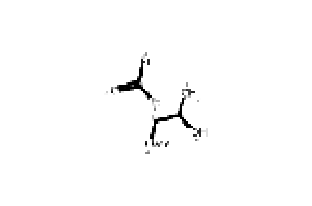 CCC(=O)CC.COCC(C)O